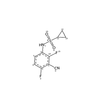 N#Cc1c(F)ccc(NS(=O)(=O)C2CC2)c1F